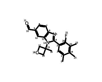 Cc1cc(-c2nc3ccc(C=O)cc3n2C2(C)COC2)c(F)c(C)c1C